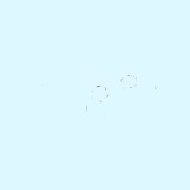 CCCCCC1CCC(c2cc3c(c(F)c2F)Oc2c(ccc(CCC)c2F)C3)CC1